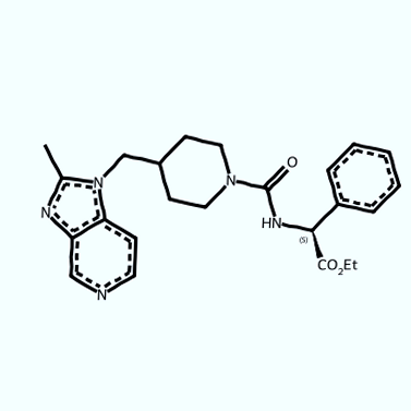 CCOC(=O)[C@@H](NC(=O)N1CCC(Cn2c(C)nc3cnccc32)CC1)c1ccccc1